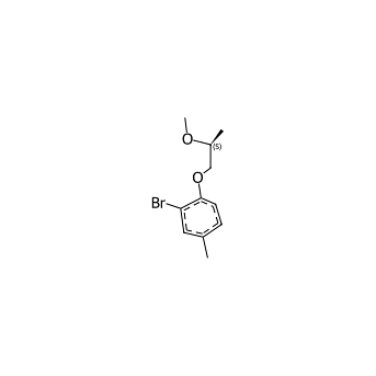 CO[C@@H](C)COc1ccc(C)cc1Br